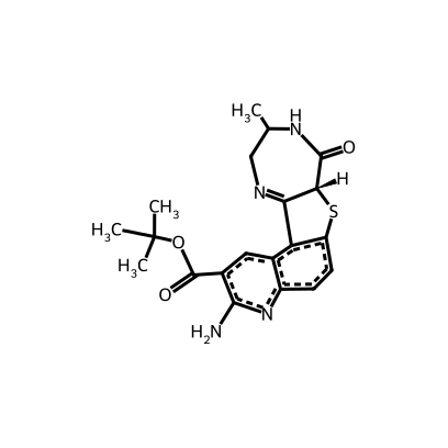 CC1CN=C2c3c(ccc4nc(N)c(C(=O)OC(C)(C)C)cc34)S[C@H]2C(=O)N1